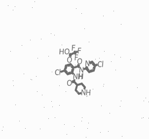 O=C(Nc1ccc(Cl)cn1)c1ccc(Cl)cc1NC(=O)C1CCNCC1.O=C(O)C(F)(F)F